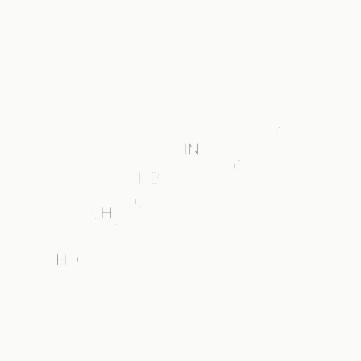 C=C(C)CC1C=CCC(NC(=O)Cc2cccs2)BO1